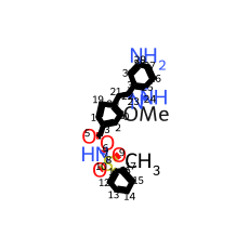 COc1cc(C(=O)ONS(=O)(=O)c2ccccc2C)ccc1Cc1n[nH]c2ccc(N)cc12